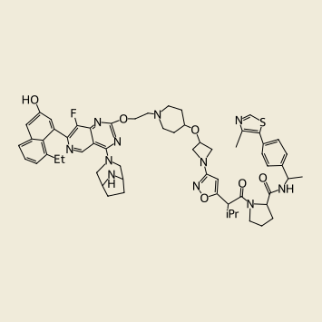 CCc1cccc2cc(O)cc(-c3ncc4c(N5CC6CCC(C5)N6)nc(OCCN5CCC(OC6CN(c7cc(C(C(=O)N8CCCC8C(=O)NC(C)c8ccc(-c9scnc9C)cc8)C(C)C)on7)C6)CC5)nc4c3F)c12